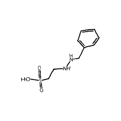 O=S(=O)(O)CCNNCc1ccccc1